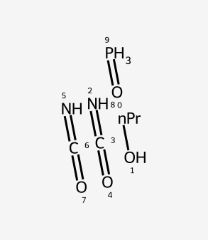 CCCO.N=C=O.N=C=O.O=[PH3]